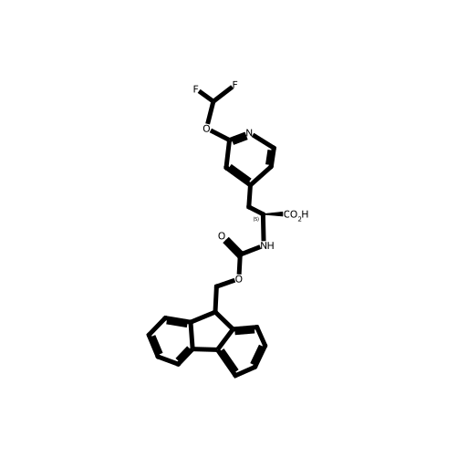 O=C(N[C@@H](Cc1ccnc(OC(F)F)c1)C(=O)O)OCC1c2ccccc2-c2ccccc21